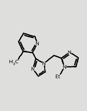 CCn1ccnc1Cn1ccnc1-c1ncccc1C